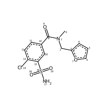 CN(Cc1ccco1)C(=O)c1ccc(Cl)c(S(N)(=O)=O)c1